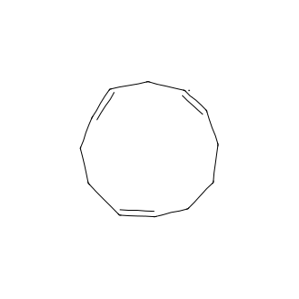 [C]1=CCCCC=CCCC=CC1